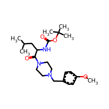 COc1ccc(CN2CCN(C(=O)C(CC(C)C)NC(=O)OC(C)(C)C)CC2)cc1